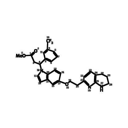 COC(=O)CC(c1cccc(C(F)(F)F)c1)n1ccc2cc(OCCc3ccc4c(n3)NCCC4)ccc21